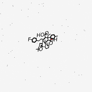 CCN1C(CCc2ccc(F)cc2)=C(C(=O)O)C(CC)(c2ccc(C)cc2)C(C(=O)O)=C1N1CCC[C@H]1C(=O)OC(C)(C)C